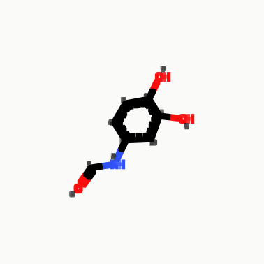 O=[C]Nc1ccc(O)c(O)c1